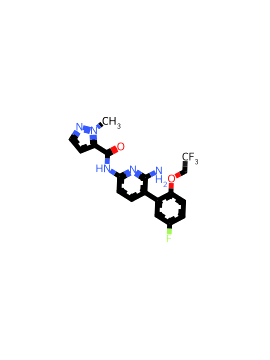 Cn1nccc1C(=O)Nc1ccc(-c2cc(F)ccc2OCC(F)(F)F)c(N)n1